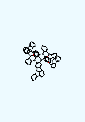 c1ccc2c(c1)-c1ccccc1C2c1ccccc1N1c2cc3c(cc2B2c4cc5c6cccc7c8ccccc8n(c5cc4N(c4ccccc4-n4c5ccccc5c5ccccc54)c4cc(-n5c8ccccc8c8ccccc85)cc1c42)c76)c1cccc2c4ccccc4n3c21